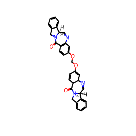 O=C1c2ccc(OCOC3=CC4N=C[C@@H]5c6ccccc6CN5C(=O)C4C=C3)cc2N=C[C@@H]2c3ccccc3CN12